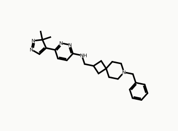 CC1(C)N=NC=C1c1ccc(NCC2CC3(CCN(Cc4ccccc4)CC3)C2)nn1